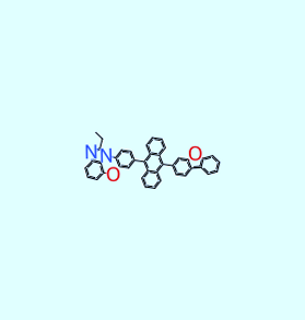 CCc1nc2cccc3c2n1-c1ccc(-c2c4ccccc4c(-c4ccc5c(c4)oc4ccccc45)c4ccccc24)cc1O3